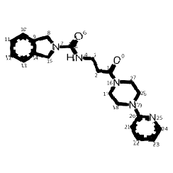 O=C(CCNC(=O)N1Cc2ccccc2C1)N1CCN(c2ccccn2)CC1